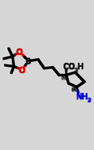 CC1(C)OB(CCCC[C@]2(C(=O)O)CC[C@@H](N)C2)OC1(C)C